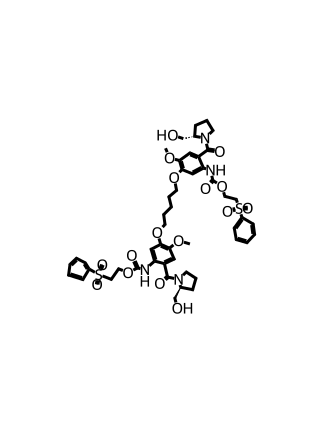 COc1cc(C(=O)N2CCC[C@H]2CO)c(NC(=O)OCCS(=O)(=O)c2ccccc2)cc1OCCCCCOc1cc(NC(=O)OCCS(=O)(=O)c2ccccc2)c(C(=O)N2CCC[C@H]2CO)cc1OC